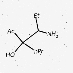 CCCC(O)(C(C)=O)C(N)CC